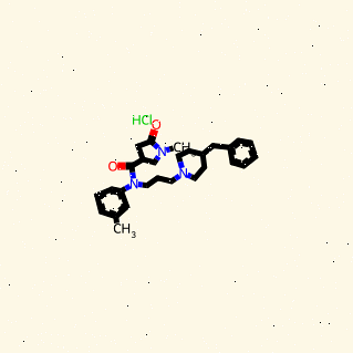 Cc1cccc(N(CCCN2CCC(Cc3ccccc3)CC2)C(=O)C2CC(=O)N(C)C2)c1.Cl